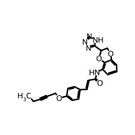 CCC#CCOc1ccc(C=CC(=O)Nc2cccc3c2OC(c2nnn[nH]2)CO3)cc1